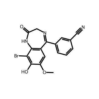 COc1cc2c(c(Br)c1O)NC(=O)CN=C2c1cccc(C#N)c1